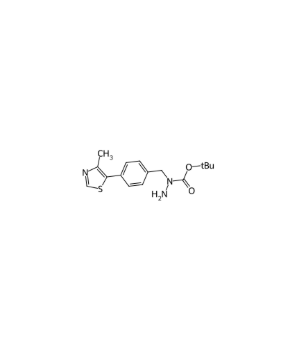 Cc1ncsc1-c1ccc(CN(N)C(=O)OC(C)(C)C)cc1